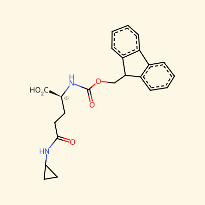 O=C(CC[C@H](NC(=O)OCC1c2ccccc2-c2ccccc21)C(=O)O)NC1CC1